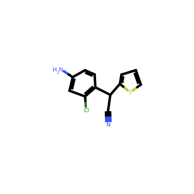 N#CC(c1cccs1)c1ccc(N)cc1Cl